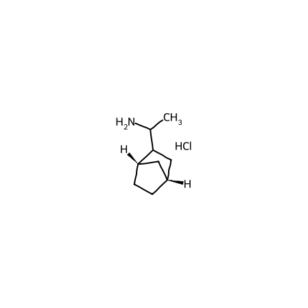 CC(N)C1C[C@@H]2CC[C@H]1C2.Cl